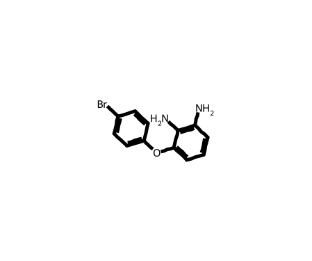 Nc1cccc(Oc2ccc(Br)cc2)c1N